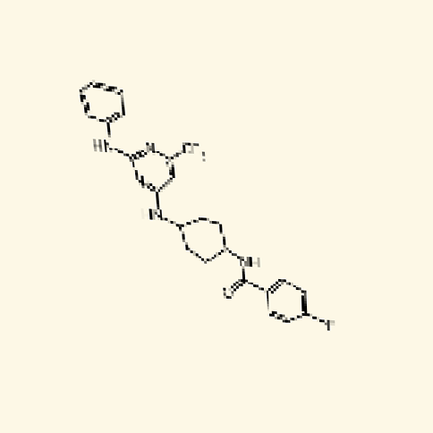 O=C(NC1CCC(Nc2cc(C(F)(F)F)nc(Nc3ccccc3)n2)CC1)c1ccc(F)cc1